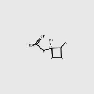 CC1CC[C@@]1(F)CC(=O)O